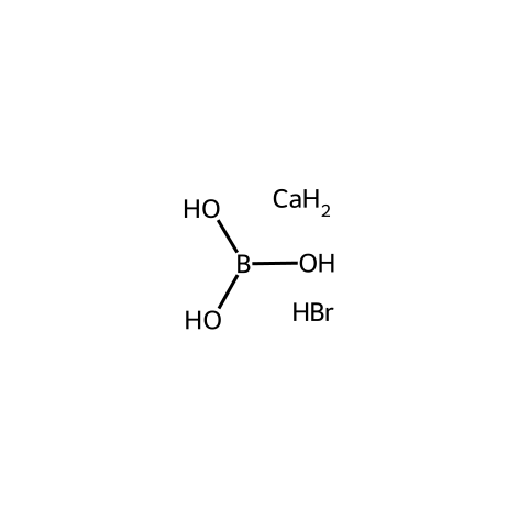 Br.OB(O)O.[CaH2]